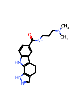 CN(C)CCCNC(=O)c1ccc2[nH]c3c(c2c1)CCc1cn[nH]c1-3